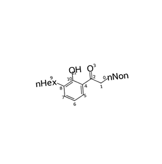 CCCCCCCCCCC(=O)c1cccc(CCCCCC)c1O